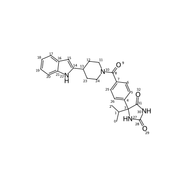 CC(C)C1(c2ccc(C(=O)N3CCC(c4cc5ccccc5[nH]4)CC3)cc2)NC(=O)NC1=O